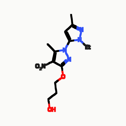 CCn1nc(C)cc1-n1nc(OCCCO)c([N+](=O)[O-])c1C